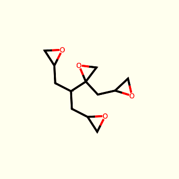 C1OC1C[C](CC1CO1)C1(CC2CO2)CO1